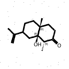 C=C(C)C1CC[C@]2(C)CCC(=O)[C@H](C)[C@]2(O)C1